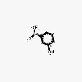 [O-][S+](c1cccc(O)c1)C(F)(F)F